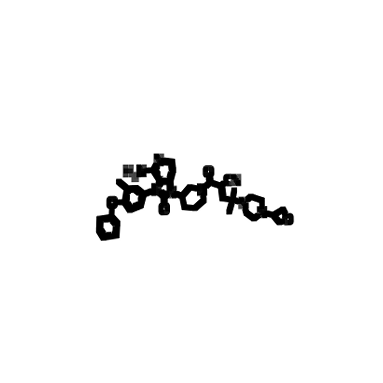 Cc1cc(-n2c(=O)n(C3CCCN(C(=O)C(C#N)=CC(C)(C)N4CCN(C5COC5)CC4)C3)c3ccnc(N)c32)ccc1Oc1ccccc1